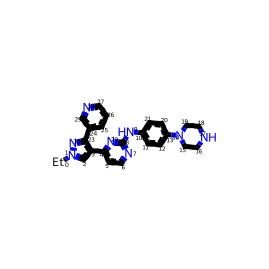 CCn1cc(-c2ccnc(Nc3ccc(N4CCNCC4)cc3)n2)c(-c2cccnc2)n1